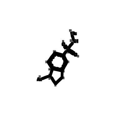 CC(=O)N1CCc2cc(S(=O)(=O)NC(C)(C)C)ccc21